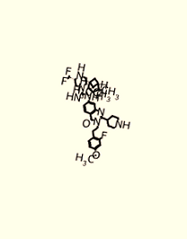 COc1ccc(CCn2c(C3CCNCC3)nc3cc(N(C(=N)N4CCN[C@@H](C(F)F)C4)[C@H]4C[C@H]5C[C@@H]([C@@H]4C)C5(C)C)ccc3c2=O)c(F)c1